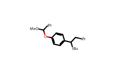 COC(Oc1ccc(C(CC(C)C)C(C)(C)C)cc1)C(C)C